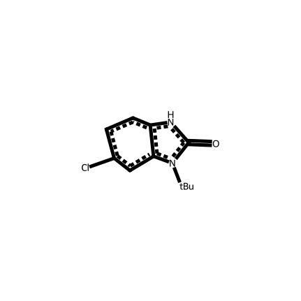 CC(C)(C)n1c(=O)[nH]c2ccc(Cl)cc21